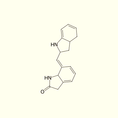 O=C1CC2=CC=CC(=CC3CC4CC=CC=C4N3)C2N1